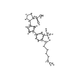 COCCCCOc1ccc(-c2noc(C3CCCN3C(=O)O)n2)cc1C(F)(F)F